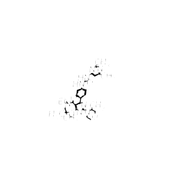 CCN1CC(C)(C)Oc2nc(N3CCOCC3C)nc(-c3ccc(NC(=O)Nc4cc(C)nc(C)n4)cc3)c2C1=O